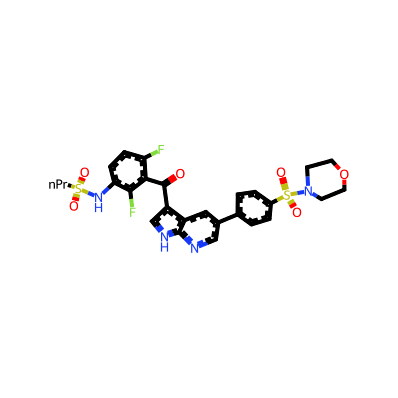 CCCS(=O)(=O)Nc1ccc(F)c(C(=O)c2c[nH]c3ncc(-c4ccc(S(=O)(=O)N5CCOCC5)cc4)cc23)c1F